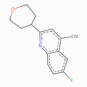 N#Cc1cc(C2CCOCC2)nc2ccc(F)cc12